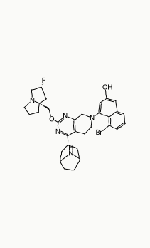 Oc1cc(N2CCc3c(nc(OC[C@@]45CCCN4C[C@H](F)C5)nc3C3CC4CCC(C3)N4)C2)c2c(Br)cccc2c1